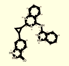 O=c1[nH][nH]c2cc(C3CC3c3nc(Nc4n[nH]c5ccccc45)c4ccccc4n3)ccc12